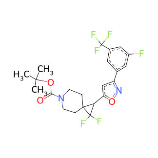 CC(C)(C)OC(=O)N1CCC2(CC1)C(c1cc(-c3cc(F)cc(C(F)(F)F)c3)no1)C2(F)F